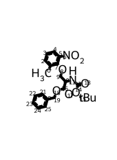 Cc1cccc([N+](=O)[O-])c1OCC(NC(=O)OC(C)(C)C)C(=O)OCc1ccccc1